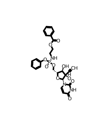 C#C[C@@]1(O)[C@H](O)[C@@H](COP(=O)(NCCOC(=O)c2ccccc2)Oc2ccccc2)O[C@H]1n1ccc(=O)[nH]c1=O